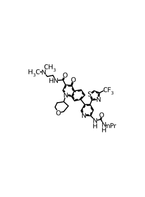 CCCNC(=O)Nc1cc(-c2nc(C(F)(F)F)cs2)c(-c2ccc3c(=O)c(C(=O)NCCN(C)C)cn(C4CCOCC4)c3c2)cn1